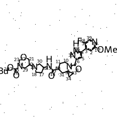 COc1cc(-c2cc(C(=O)N3CC[C@H](C(=O)NC4CCN(C5COCN(C(=O)OC(C)(C)C)C5)C4)CC34CC4)n[nH]2)c(F)cn1